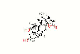 C[C@H]1[C@H]2C3C4C(CC[C@]3(C)[C@]3(CCC(=O)O3)[C@@H]12)[C@@]1(C)CC[C@H](O)C[C@@]1(O)[C@@H]1C[C@H]41